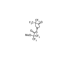 COC(C(=O)OB1CC(=O)C(C(F)(F)F)(C(F)(F)F)C1)(C(F)(F)F)C(F)(F)F